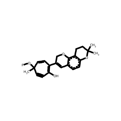 CC1(OF)C#CC(O)=C(C2=Cc3ccc4c(c3OC2)CCC(C)(C)O4)C=C1